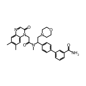 Cc1cc2ncc(=O)n(CC(=O)N(C)C(CN3CCOCC3)c3ccc(-c4cccc(C(N)=O)c4)cc3)c2cc1C